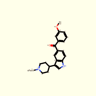 CCCCCN1CCC(c2c[nH]c3ccc(C(=O)c4cccc(OCC)c4)cc23)CC1